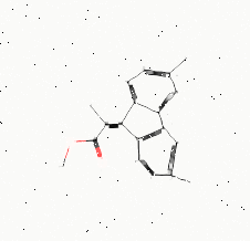 COC(=O)C(C)=C1c2ccc(C)cc2-c2cc(C)ccc21